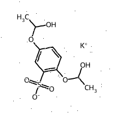 CC(O)Oc1ccc(OC(C)O)c(S(=O)(=O)[O-])c1.[K+]